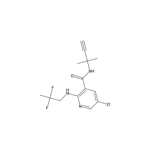 C#CC(C)(C)NC(=O)c1cc(Cl)cnc1NCC(C)(F)F